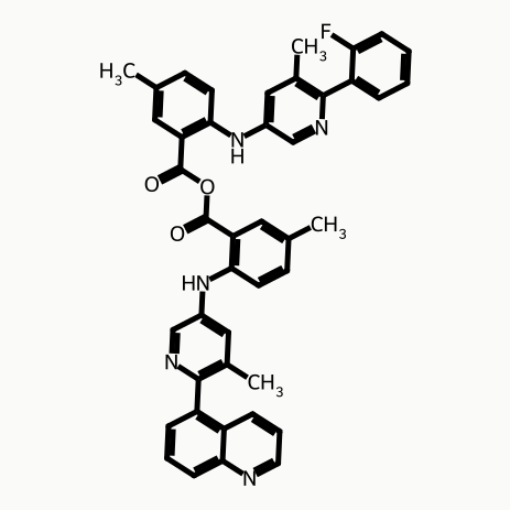 Cc1ccc(Nc2cnc(-c3ccccc3F)c(C)c2)c(C(=O)OC(=O)c2cc(C)ccc2Nc2cnc(-c3cccc4ncccc34)c(C)c2)c1